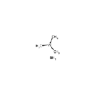 B.[CH3][Al]([CH3])[CH3]